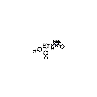 N/C(=N\C(=O)C1CCCC1)NCc1cnc(-c2ccc(Cl)cc2)c(-c2ccc(Cl)cc2)c1